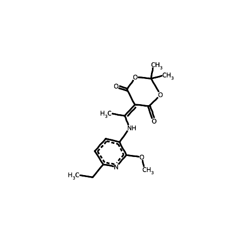 CCc1ccc(NC(C)=C2C(=O)OC(C)(C)OC2=O)c(OC)n1